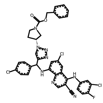 N#Cc1cnc2c(NC(c3ccc(Cl)cc3)c3cn([C@@H]4CCN(C(=O)OCc5ccccc5)C4)nn3)cc(Cl)cc2c1Nc1ccc(F)c(Cl)c1